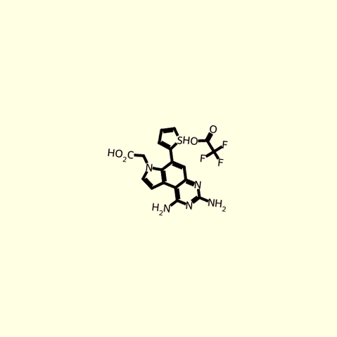 Nc1nc(N)c2c(cc(-c3cccs3)c3c2ccn3CC(=O)O)n1.O=C(O)C(F)(F)F